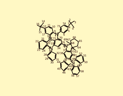 CC(C)(C)c1ccc(N2c3ccc(C(C)(C)C)cc3B3c4ccccc4N(c4ccccc4)c4cc(N5c6ccc([Si](c7ccccc7)(c7ccccc7)c7ccccc7)cc6C6(C)CCCCC56C)cc2c43)cc1